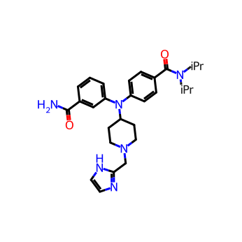 CC(C)N(C(=O)c1ccc(N(c2cccc(C(N)=O)c2)C2CCN(Cc3ncc[nH]3)CC2)cc1)C(C)C